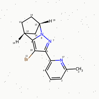 Cc1cccc(-c2nn3c(c2Br)[C@@H]2CC[C@H]3C2)n1